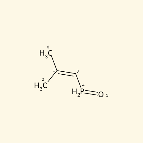 CC(C)=C[PH2]=O